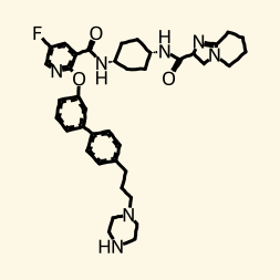 O=C(N[C@H]1CC[C@@H](NC(=O)C2CN3CCCCC3=N2)CC1)c1cc(F)cnc1Oc1cccc(-c2ccc(CCCN3CCNCC3)cc2)c1